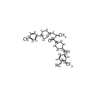 CC(CN1CCN(c2ccc(Cl)cc2)CC1)C(=O)N1CCC(Nc2ccc(C#N)c(C(F)(F)F)c2)CC1